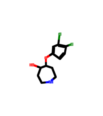 OC1CCNCCC1Oc1ccc(Cl)c(Cl)c1